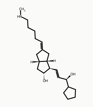 CNCCCC/C=C1\C[C@H]2C[C@@H](O)[C@H](/C=C/[C@@H](O)C3CCCC3)[C@H]2C1